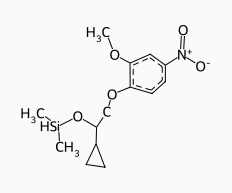 COc1cc([N+](=O)[O-])ccc1OCC(O[SiH](C)C)C1CC1